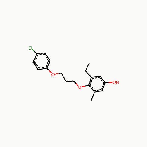 CCc1cc(O)cc(C)c1OCCCOc1ccc(Cl)cc1